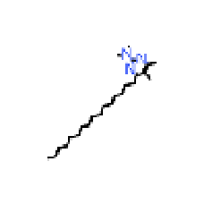 CCCCCCCCCCCCCCCCc1nc(N(C)C)nc(C)c1C